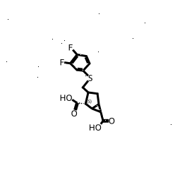 O=C(O)C1C2CC(CSc3ccc(F)c(F)c3)[C@@H](C(=O)O)C21